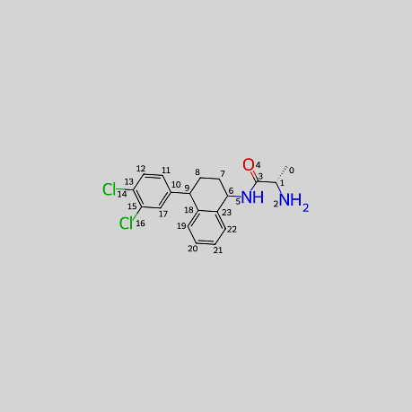 C[C@H](N)C(=O)NC1CCC(c2ccc(Cl)c(Cl)c2)c2ccccc21